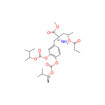 CCC(=O)OC(C)C[C@@](N)(Cc1ccc(OC(=O)O[C@@H](C)C(C)C)c(OC(=O)OC(C)C(C)C)c1)C(=O)OC